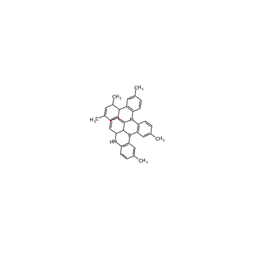 CC1=CC(C)C(c2cc(C)ccc2N2C3=CC=CC4Nc5ccc(C)cc5B(c5cc(C)ccc52)C34)C=C1